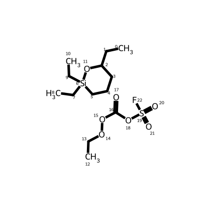 CCC1CCC[Si](CC)(CC)O1.CCOOC(=O)OS(=O)(=O)F